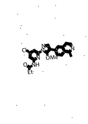 C[CH]C(=O)Nc1cc(Cl)cc(-n2ncc(-c3ccc4c(C)nccc4c3)c2OC)n1